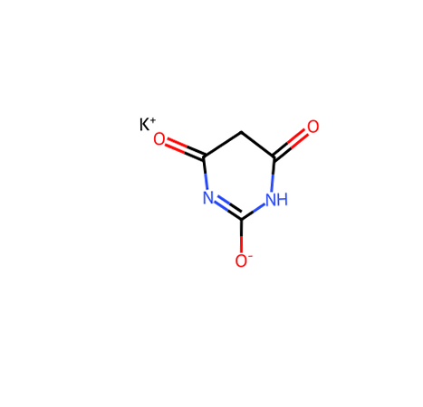 O=C1CC(=O)NC([O-])=N1.[K+]